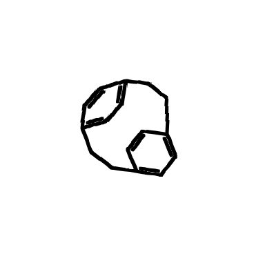 [CH]1Cc2ccc(cc2)CCc2ccc1cc2